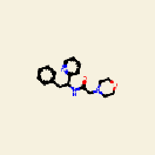 O=C(CN1CCOCC1)NC(Cc1ccccc1)c1ccccn1